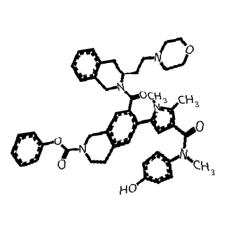 Cc1c(C(=O)N(C)c2ccc(O)cc2)cc(-c2cc3c(cc2C(=O)N2Cc4ccccc4C[C@H]2CCN2CCOCC2)CN(C(=O)Oc2ccccc2)CC3)n1C